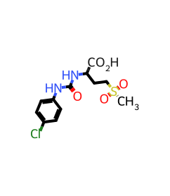 CS(=O)(=O)CCC(NC(=O)Nc1ccc(Cl)cc1)C(=O)O